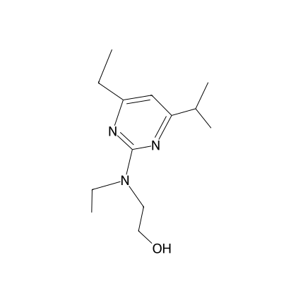 CCc1cc(C(C)C)nc(N(CC)CCO)n1